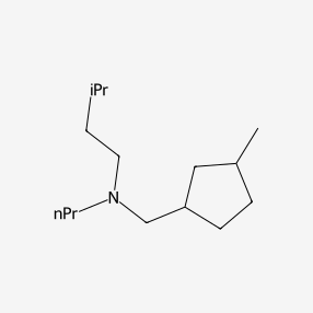 CCCN(CCC(C)C)CC1CCC(C)C1